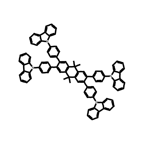 CC1(C)c2cc(-c3ccc(-n4c5ccccc5c5ccccc54)cc3)c(-c3ccc(-n4c5ccccc5c5ccccc54)cc3)cc2C(C)(C)c2cc(-c3ccc(-n4c5ccccc5c5ccccc54)cc3)c(-c3ccc(-n4c5ccccc5c5ccccc54)cc3)cc21